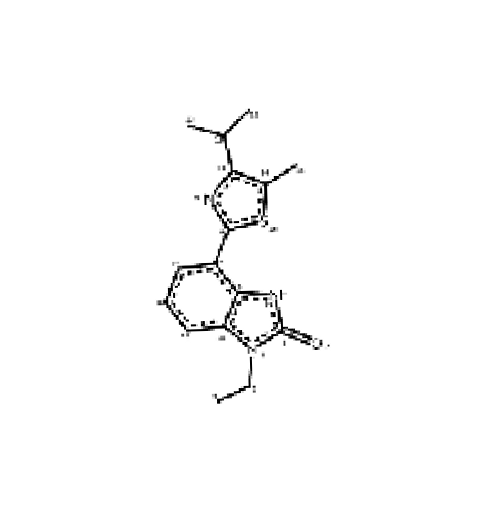 CCn1c(=O)[nH]c2c(-c3nc(C(C)C)c(C)s3)cccc21